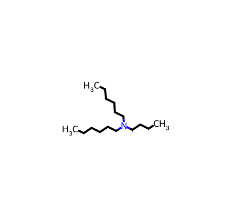 CCC[CH]N(CCCCCC)CCCCCC